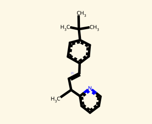 CC(/C=C/c1ccc(C(C)(C)C)cc1)c1ccccn1